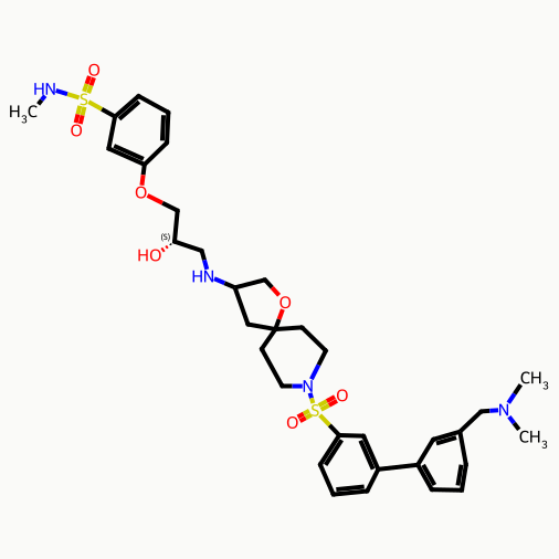 CNS(=O)(=O)c1cccc(OC[C@@H](O)CNC2COC3(CCN(S(=O)(=O)c4cccc(-c5cccc(CN(C)C)c5)c4)CC3)C2)c1